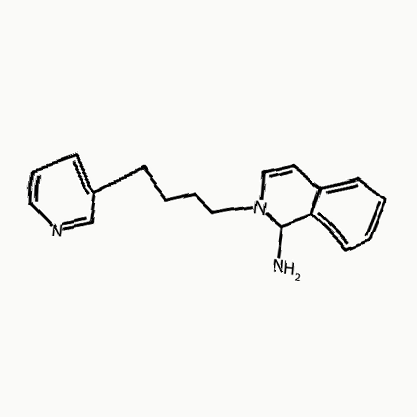 NC1c2ccccc2C=CN1CCCCc1cccnc1